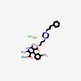 COC(=O)C1=C(C)NC(C)=C(C(=O)OCCCN2CCN(CC=Cc3ccccc3)CC2)C1c1cccc([N+](=O)[O-])c1.Cl.Cl